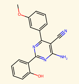 COc1cccc(-c2nc(-c3ccccc3O)nc(N)c2C#N)c1